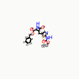 CC(C)(C)OC(=O)Nc1ncc(CC2C(=O)N[C@@H]2C(=O)OCc2ccccc2)s1